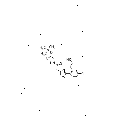 CC(C)(C)OC(=O)CNC(=O)Cc1csc(-c2ccc(Cl)cc2CCO)n1